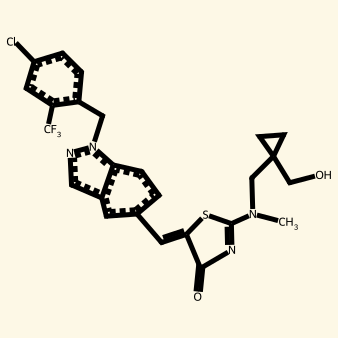 CN(CC1(CO)CC1)C1=NC(=O)/C(=C/c2ccc3c(cnn3Cc3ccc(Cl)cc3C(F)(F)F)c2)S1